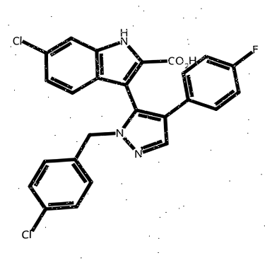 O=C(O)c1[nH]c2cc(Cl)ccc2c1-c1c(-c2ccc(F)cc2)cnn1Cc1ccc(Cl)cc1